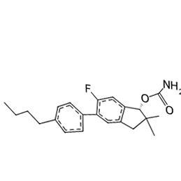 CCCCc1ccc(-c2cc3c(cc2F)[C@H](OC(N)=O)C(C)(C)C3)cc1